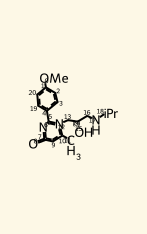 COc1ccc(-c2nc(=O)cc(C)n2C[C@@H](O)CNC(C)C)cc1